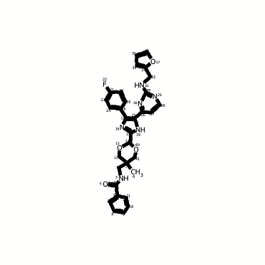 CC1(CNC(=O)c2ccccc2)COC(c2nc(-c3ccc(F)cc3)c(-c3ccnc(NCc4ccco4)n3)[nH]2)OC1